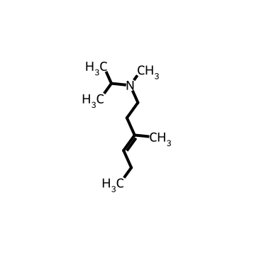 CC/C=C(\C)CCN(C)C(C)C